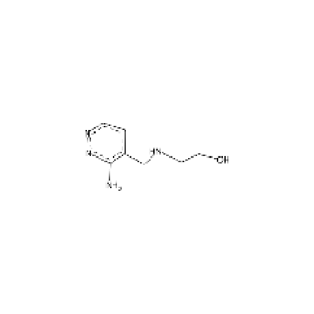 Nc1nnccc1CNCCO